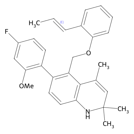 C/C=C/c1ccccc1OCc1c(-c2ccc(F)cc2OC)ccc2c1C(C)=CC(C)(C)N2